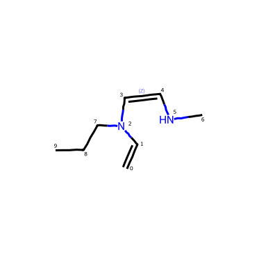 C=CN(/C=C\NC)CCC